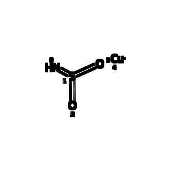 N=S(=O)=O.[Cu]